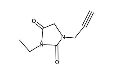 C#CCN1CC(=O)N(CC)C1=O